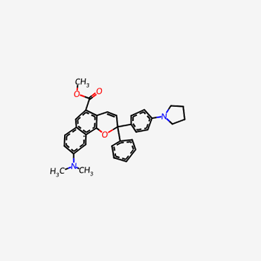 COC(=O)c1cc2ccc(N(C)C)cc2c2c1C=CC(c1ccccc1)(c1ccc(N3CCCC3)cc1)O2